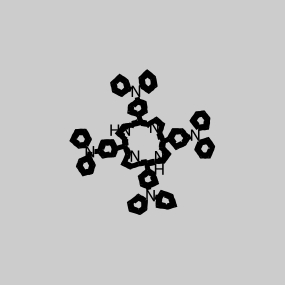 C1=Cc2nc1c(-c1ccc(N(c3ccccc3)c3ccccc3)cc1)c1ccc([nH]1)c(-c1ccc(N(c3ccccc3)c3ccccc3)cc1)c1nc(c(-c3ccc(N(c4ccccc4)c4ccccc4)cc3)c3ccc([nH]3)c2-c2ccc(N(c3ccccc3)c3ccccc3)cc2)C=C1